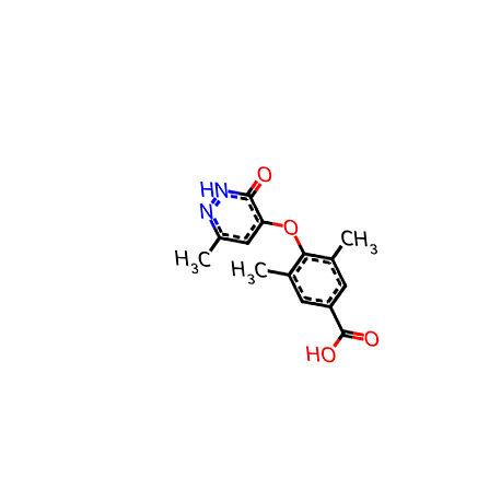 Cc1cc(Oc2c(C)cc(C(=O)O)cc2C)c(=O)[nH]n1